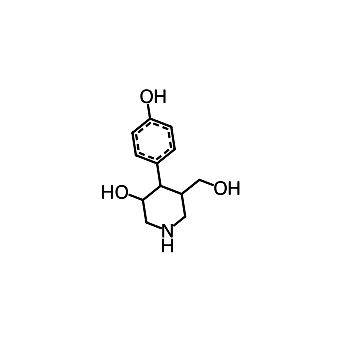 OCC1CNCC(O)C1c1ccc(O)cc1